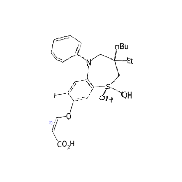 CCCCC1(CC)CN(c2ccccc2)c2cc(I)c(O/C=C\C(=O)O)cc2S(O)(O)C1